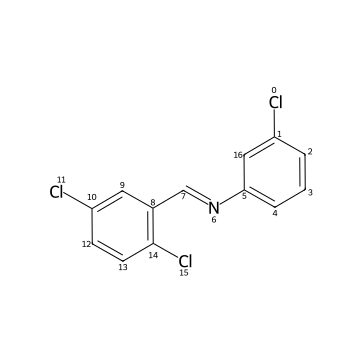 Clc1cccc(N=Cc2cc(Cl)ccc2Cl)c1